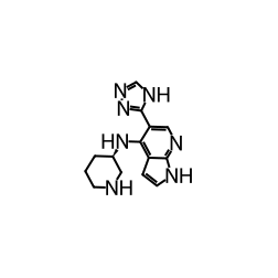 c1nnc(-c2cnc3[nH]ccc3c2N[C@@H]2CCCNC2)[nH]1